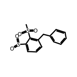 CS(=O)(=O)c1c(Cc2ccccc2)cccc1[S](=O)=O